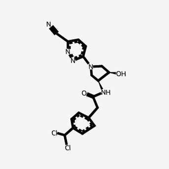 N#Cc1ccc(N2C[C@@H](O)[C@@H](NC(=O)Cc3ccc(C(Cl)Cl)cc3)C2)nn1